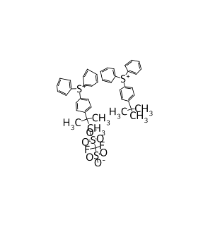 CC(C)(C)c1ccc([S+](c2ccccc2)c2ccccc2)cc1.CC(C)(C)c1ccc([S+](c2ccccc2)c2ccccc2)cc1.O=S(=O)([O-])C(F)(F)S(=O)(=O)[O-]